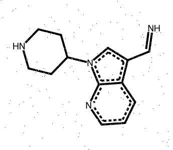 N=Cc1cn(C2CCNCC2)c2ncccc12